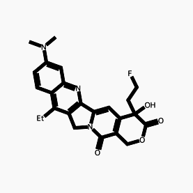 CCc1c2c(nc3cc(N(C)C)ccc13)-c1cc3c(c(=O)n1C2)COC(=O)C3(O)CCF